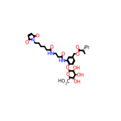 CC(C)[C@H](C)C(=O)OCc1ccc(O[C@@H]2O[C@H](C(=O)O)[C@@H](O)[C@H](O)[C@H]2O)c(NC(=O)CCNC(=O)CCCCCN2C(=O)C=CC2=O)c1